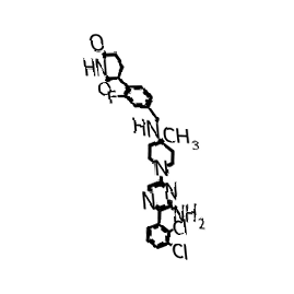 CC1(NCc2ccc(C3CCC(=O)NC3=O)c(F)c2)CCN(c2cnc(-c3cccc(Cl)c3Cl)c(N)n2)CC1